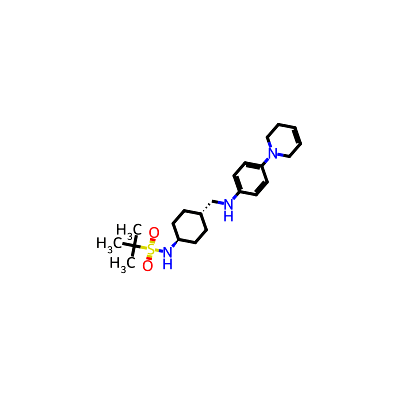 CC(C)(C)S(=O)(=O)N[C@H]1CC[C@H](CNc2ccc(N3CC=CCC3)cc2)CC1